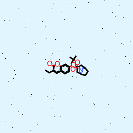 CCc1cc2ccc(OC3CC4CCC(C3)N4C(=O)OC(C)(C)C)cc2oc1=O